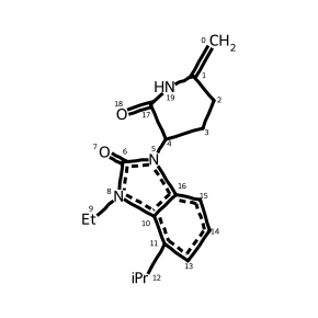 C=C1CCC(n2c(=O)n(CC)c3c(C(C)C)cccc32)C(=O)N1